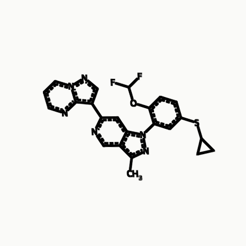 Cc1nn(-c2cc(SC3CC3)ccc2OC(F)F)c2cc(-c3cnn4cccnc34)ncc12